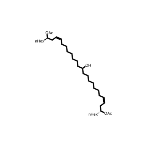 CCCCCC[C@H](C/C=C\CCCCCCCC(O)CCCCCCC/C=C\C[C@@H](CCCCCC)OC(C)=O)OC(C)=O